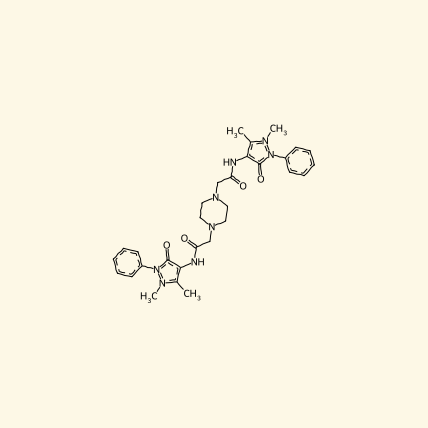 Cc1c(NC(=O)CN2CCN(CC(=O)Nc3c(C)n(C)n(-c4ccccc4)c3=O)CC2)c(=O)n(-c2ccccc2)n1C